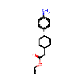 CCOC(=O)C[C@H]1CC[C@H](c2ccc(N)cc2)CC1